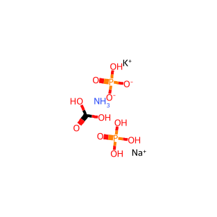 N.O=C(O)O.O=P(O)(O)O.O=P([O-])([O-])O.[K+].[Na+]